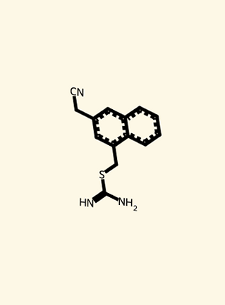 N#CCc1cc(CSC(=N)N)c2ccccc2c1